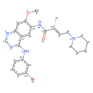 CCOc1cc2ncnc(Nc3cccc(Br)c3)c2cc1NC(=O)C(F)=CCN1CCCCC1